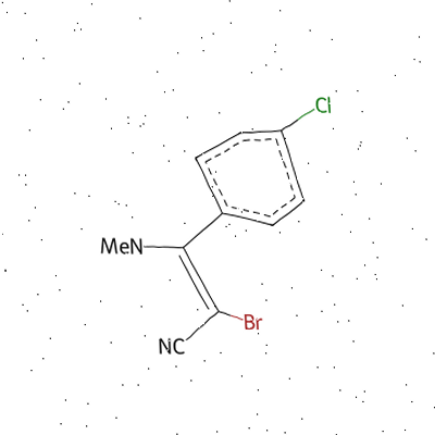 CNC(=C(Br)C#N)c1ccc(Cl)cc1